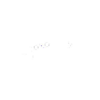 C=C(C)C(=O)OCCCCCCSc1ccc(/N=N/c2ccc(S(=O)(=O)CC(C)CC)cc2)cc1